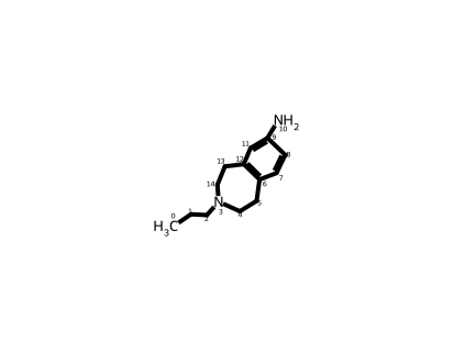 CCCN1CCc2ccc(N)cc2CC1